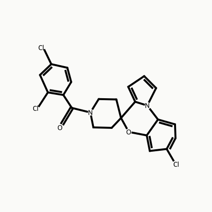 O=C(c1ccc(Cl)cc1Cl)N1CCC2(CC1)Oc1cc(Cl)ccc1-n1cccc12